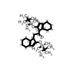 CC(C)(C)[Si](C)(C)OC1=CC2=C(CCCC2)C1C[CH]([Zr])C1C(O[Si](C)(C)C(C)(C)C)=CC2=C1CCCC2